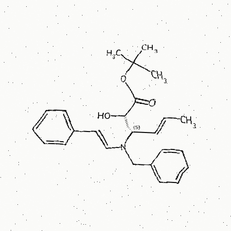 CC=C[C@@H](C(O)C(=O)OC(C)(C)C)N(C=Cc1ccccc1)Cc1ccccc1